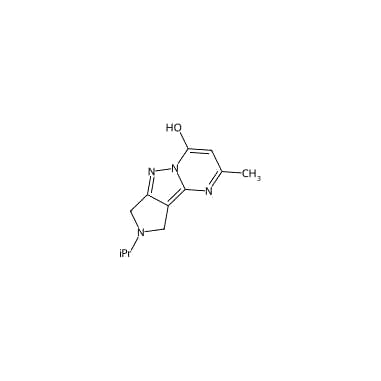 Cc1cc(O)n2nc3c(c2n1)CN(C(C)C)C3